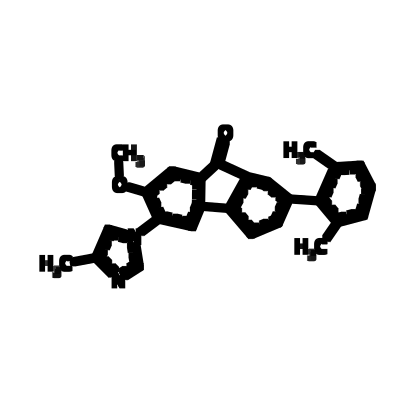 COc1cc2c(cc1-n1cnc(C)c1)-c1ccc(-c3c(C)cccc3C)cc1C2=O